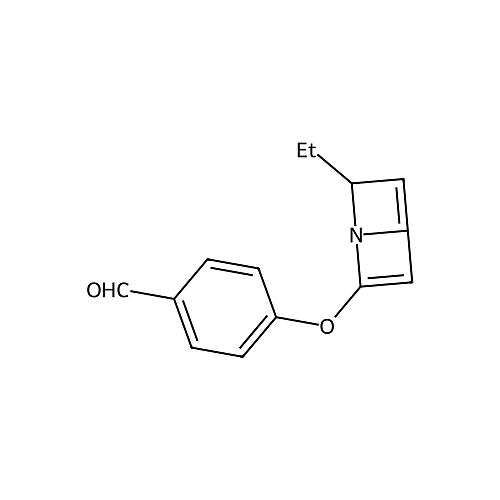 CCC1C=C2C=C(Oc3ccc(C=O)cc3)N21